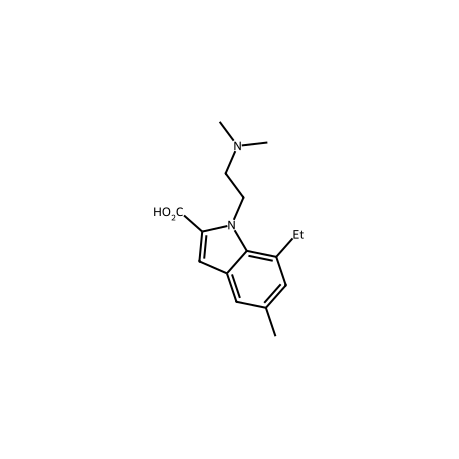 CCc1cc(C)cc2cc(C(=O)O)n(CCN(C)C)c12